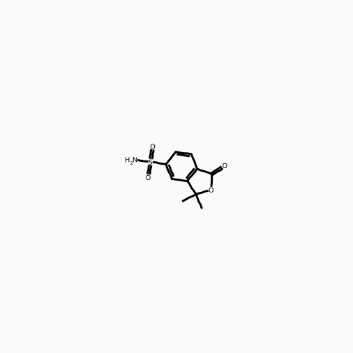 CC1(C)OC(=O)c2ccc(S(N)(=O)=O)cc21